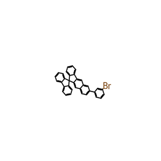 Brc1cccc(-c2ccc3cc4c(cc3c2)-c2ccccc2C42c3ccccc3-c3ccccc32)c1